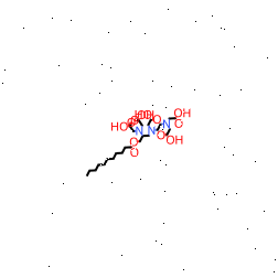 CCCCCCCCCCC(=O)OCC(CN(CCN(CC(=O)O)CC(=O)O)CC(=O)O)N(CC(=O)O)CC(=O)O